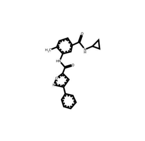 Cc1ccc(C(=O)NC2CC2)cc1NC(=O)c1cc(-c2ccccc2)no1